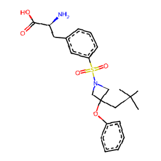 CC(C)(C)CC1(Oc2ccccc2)CN(S(=O)(=O)c2cccc(C[C@H](N)C(=O)O)c2)C1